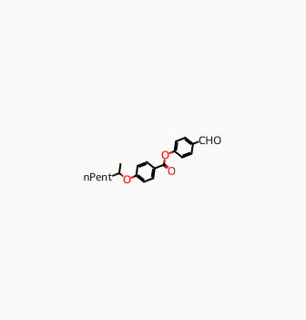 CCCCCC(C)Oc1ccc(C(=O)Oc2ccc(C=O)cc2)cc1